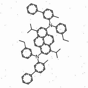 CCc1cccc(N(c2cc(-c3ccccc3)ccc2C)c2cc(C(C)C)c3ccc4c(N(c5cccc(CC)c5)c5cc(-c6ccccc6)ccc5C)cc(C(C)C)c5ccc2c3c54)c1